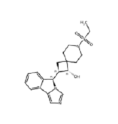 CCS(=O)(=O)N1CCC2(CC1)C[C@H]([C@@H]1c3ccccc3-c3cncn31)[C@H]2O